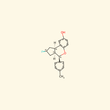 Cc1ccc([C@@H]2Oc3ccc(O)cc3[C@@H]3C[C@H](F)C[C@@H]32)cc1